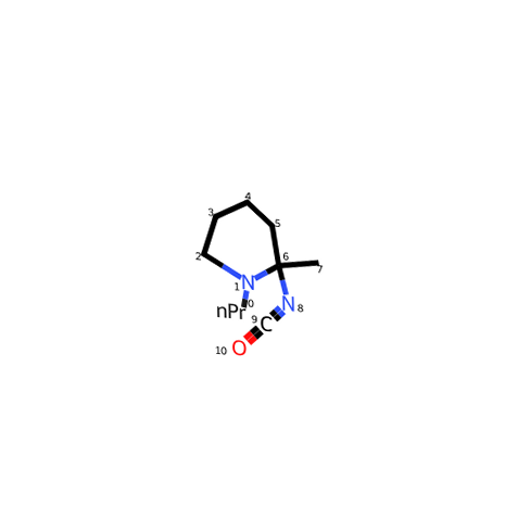 CCCN1CCCCC1(C)N=C=O